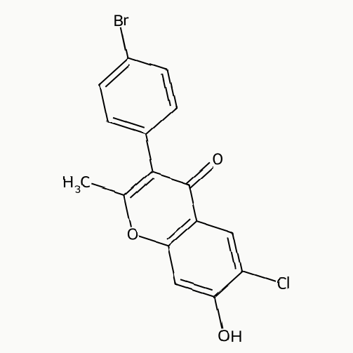 Cc1oc2cc(O)c(Cl)cc2c(=O)c1-c1ccc(Br)cc1